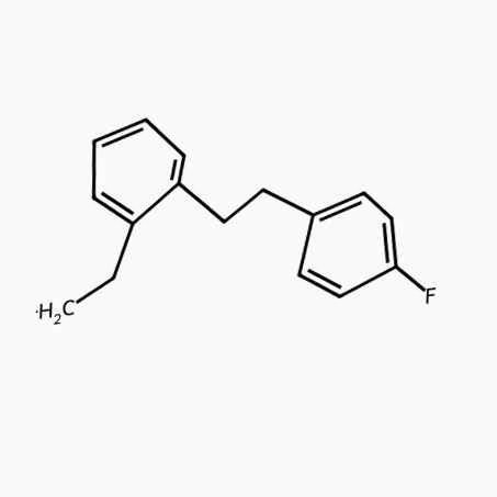 [CH2]Cc1ccccc1CCc1ccc(F)cc1